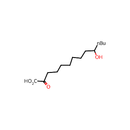 CCCCC(O)CCCCCCCC(=O)C(=O)O